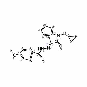 COc1ccc(C(=O)N/N=C2/C(=O)N(CC3CC3)c3ccccc32)cc1